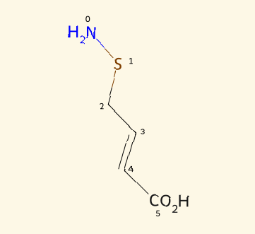 NSCC=CC(=O)O